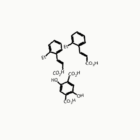 CCc1ccccc1C=CC(=O)O.CCc1ccccc1C=CC(=O)O.O=C(O)c1cc(O)c(C(=O)O)cc1O